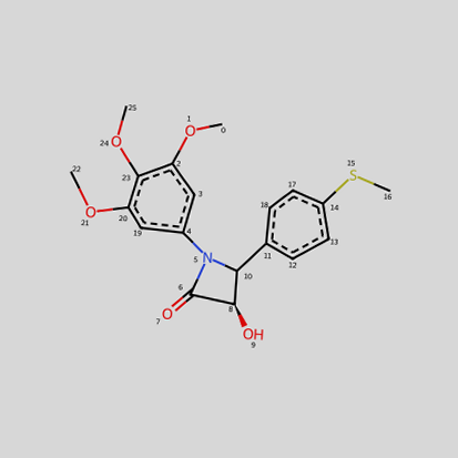 COc1cc(N2C(=O)[C@H](O)C2c2ccc(SC)cc2)cc(OC)c1OC